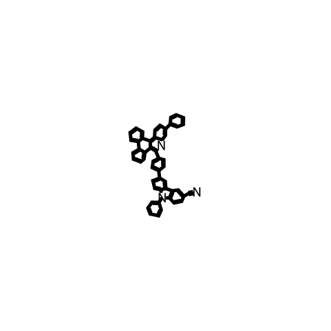 N#Cc1ccc2c(c1)c1cc(-c3ccc(-c4nc5cc(-c6ccccc6)ccc5c5c6ccccc6c6ccccc6c45)cc3)ccc1n2-c1ccccc1